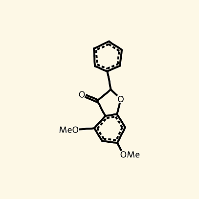 COc1cc(OC)c2c(c1)OC(c1ccccc1)C2=O